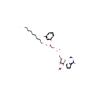 CCCCCCCCCCCCCCCCCCOC[C@H](COP(=O)(O)OC[C@@]1(C)OC[C@@]2(c3ccc4c(N)ncnn34)OC(C)(C)O[C@H]12)Oc1cccc(C#N)c1